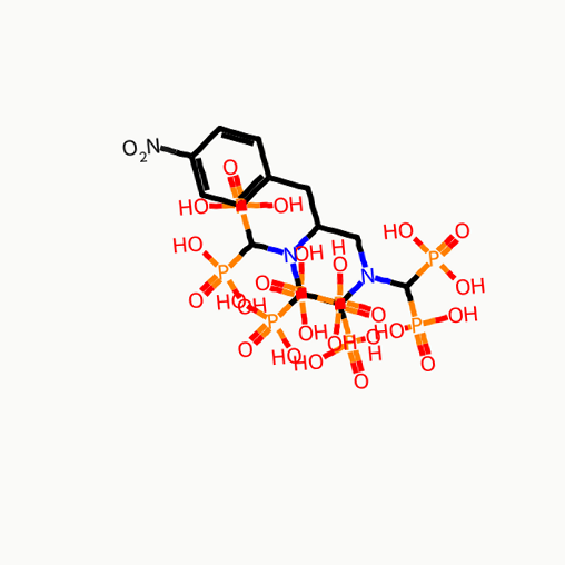 O=[N+]([O-])c1ccc(CC(CN(C(P(=O)(O)O)P(=O)(O)O)C(P(=O)(O)O)P(=O)(O)O)N(C(P(=O)(O)O)P(=O)(O)O)C(P(=O)(O)O)P(=O)(O)O)cc1